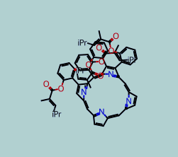 CC(=CC(C)C)C(=O)Oc1ccccc1C1=CC2=CC3=NC(=CC4=NC(=CC5=NC(=C(c6ccccc6OC(=O)C(C)=CC(C)C)C1=N2)C(c1ccccc1OC(=O)C(C)=CC(C)C)=C5c1ccccc1OC(=O)C(C)=CC(C)C)C=C4)C=C3